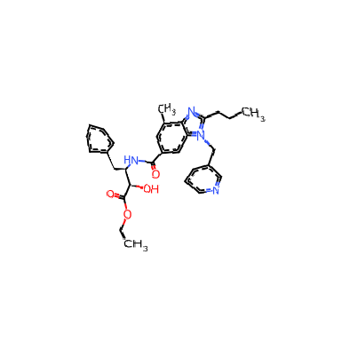 CCCc1nc2c(C)cc(C(=O)N[C@H](Cc3ccccc3)[C@@H](O)C(=O)OCC)cc2n1Cc1cccnc1